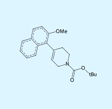 COc1ccc2ccccc2c1C1=CCN(C(=O)OC(C)(C)C)CC1